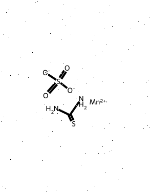 NC(N)=S.O=S(=O)([O-])[O-].[Mn+2]